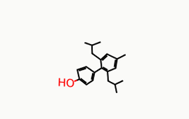 Cc1cc(CC(C)C)c(-c2ccc(O)cc2)c(CC(C)C)c1